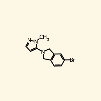 Cn1nccc1N1Cc2ccc(Br)cc2C1